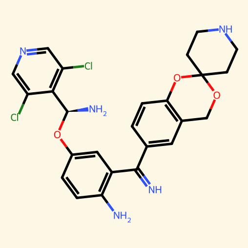 N=C(c1ccc2c(c1)COC1(CCNCC1)O2)c1cc(O[C@H](N)c2c(Cl)cncc2Cl)ccc1N